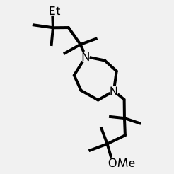 CCC(C)(C)CC(C)(C)N1CCCN(CC(C)(C)CC(C)(C)OC)CC1